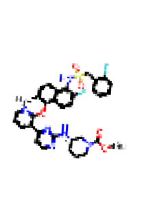 Cc1ccc2c(NS(=O)(=O)Cc3ccccc3F)c(F)ccc2c1Oc1ncccc1-c1ccnc(N[C@H]2CCCN(C(=O)OC(C)(C)C)C2)n1